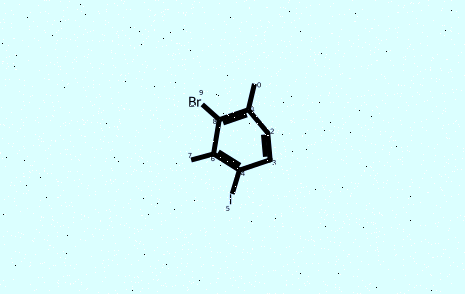 Cc1ccc(I)c(C)c1Br